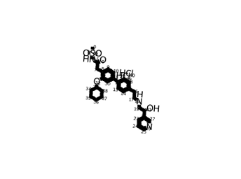 CS(=O)(=O)NC(=O)Cc1ccc(-c2ccc(CCNC[C@H](O)c3cccnc3)cc2)cc1OC1CCCCC1.Cl.Cl